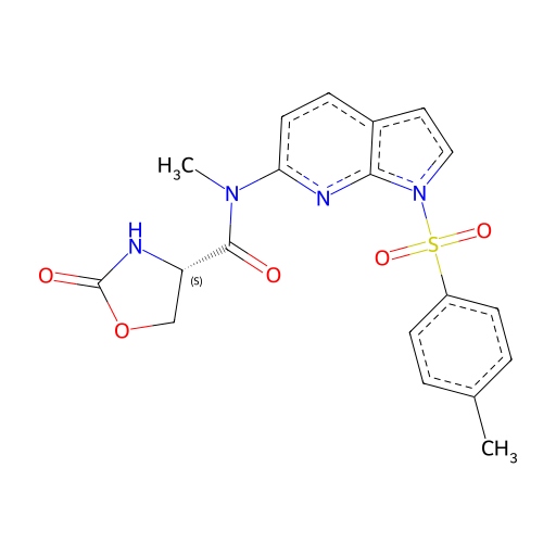 Cc1ccc(S(=O)(=O)n2ccc3ccc(N(C)C(=O)[C@@H]4COC(=O)N4)nc32)cc1